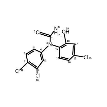 NC(=O)N(c1ccc(Cl)c(Cl)c1)c1ccc(Cl)cc1O